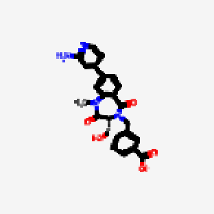 CN1C(=O)[C@@H](CO)N(Cc2cccc(C(=O)O)c2)C(=O)c2ccc(-c3ccnc(N)c3)cc21